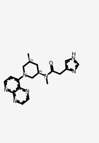 C[C@H]1C[C@@H](N(C)C(=O)Cc2c[nH]cn2)CN(c2ccnc3nccnc23)C1